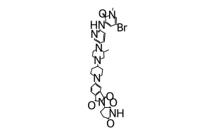 CC1CN(C2CCN(c3ccc4c(c3)C(=O)N(C3CCC(=O)NC3=O)C4=O)CC2)CCN1c1ccc(Nc2cc(Br)cn(C)c2=O)nc1